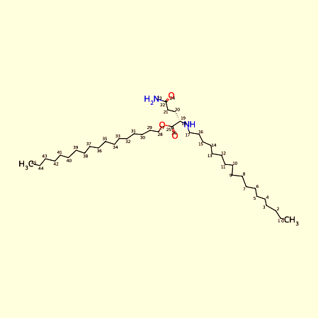 CCCCCCCCCCCCCCCCCCN[C@@H](CCC(N)=O)C(=O)OCCCCCCCCCCCCCCCCCC